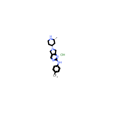 C[C@@H]1C[C@H](N2Cc3cnc(Nc4ccc(C(F)(F)F)cc4)nc3C2)CCN1.Cl